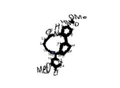 COC(=O)Nc1ccc2c(c1)NC(=O)CCC/C=C(/c1cc(OC)c(Cl)cn1)c1cccc-2c1